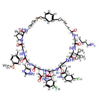 COc1ccc(C[C@H]2NC(=O)[C@@H](Cc3c[nH]cn3)NC(=O)[C@@H](CC(=O)O)NC(=O)[C@@H](Cc3c[nH]c4ccc(F)cc34)NC(=O)[C@@H](Cc3c[nH]c4ccc(F)cc34)NC(=O)[C@H](C(C)(C)C)NC(=O)[C@@H](CCCCN)NC(=O)CCSCc3cccc(c3)CSCCNC(=O)[C@@]3(C)CCCN3C2=O)cc1